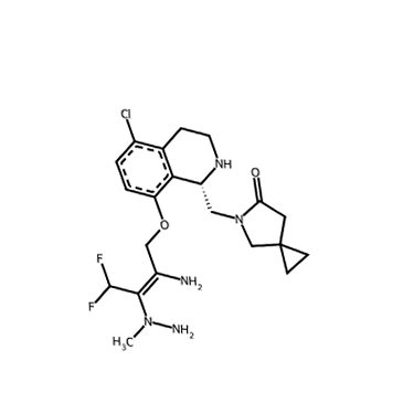 CN(N)/C(=C(\N)COc1ccc(Cl)c2c1[C@@H](CN1CC3(CC3)CC1=O)NCC2)C(F)F